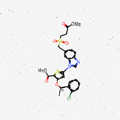 COC(=O)CCS(=O)(=O)Cc1ccc2ncn(-c3cc(O[C@H](C)c4ccccc4Cl)c(C(=O)OC)s3)c2c1